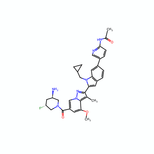 COc1cc(C(=O)N2C[C@H](N)C[C@@H](F)C2)cn2nc(-c3cc4ccc(-c5ccc(NC(C)=O)nc5)cc4n3CC3CC3)c(C)c12